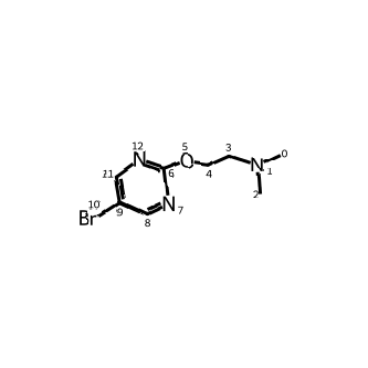 CN(C)CCOc1ncc(Br)cn1